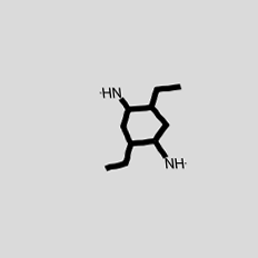 CCC1CC([NH])C(CC)CC1[NH]